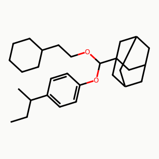 CCC(C)c1ccc(OC(OCCC2CCCCC2)C23CC4CC(CC(C4)C2)C3)cc1